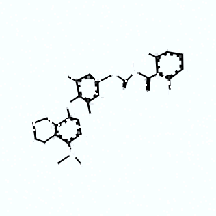 Cc1cc(NC(=O)NC(=O)c2c(F)cccc2F)cc(C)c1Oc1ccc(N(C)C)c2c1CCCC2